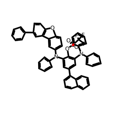 O=S(=O)(Oc1c(N(c2ccccc2)c2ccccc2)cc(-c2cccc3ccccc23)cc1N(c1ccccc1)c1ccc2oc3ccc(-c4ccccc4)cc3c2c1)C(F)(F)F